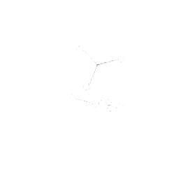 ClC(Cl)Cl.O=C([O-])[O-].[Ca+2]